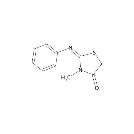 CN1C(=O)CS/C1=N/c1ccccc1